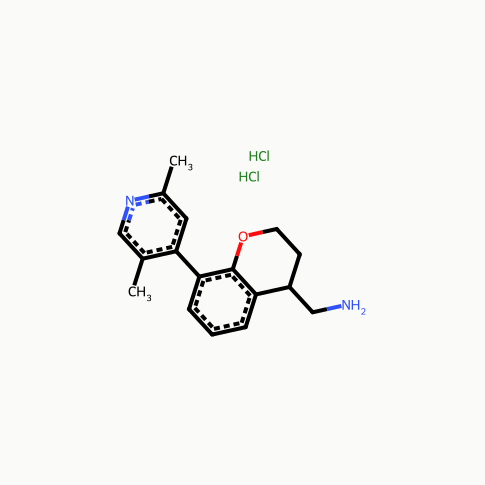 Cc1cc(-c2cccc3c2OCCC3CN)c(C)cn1.Cl.Cl